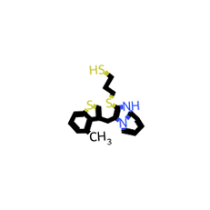 Cc1cccc2scc(CC3=C(SCCCS)NC4C=CC=CN34)c12